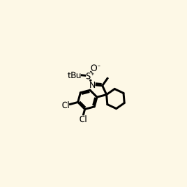 CC(=N[S+]([O-])C(C)(C)C)C1(c2ccc(Cl)c(Cl)c2)CCCCC1